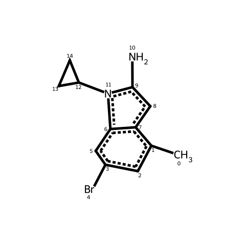 Cc1cc(Br)cc2c1cc(N)n2C1CC1